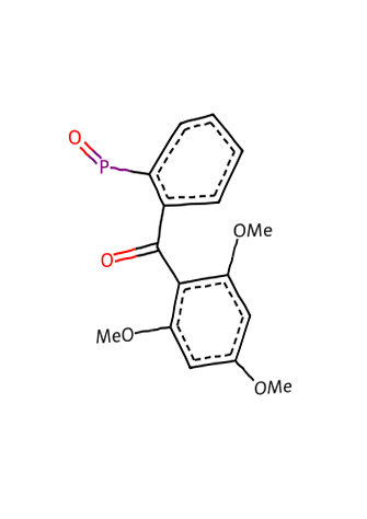 COc1cc(OC)c(C(=O)c2ccccc2P=O)c(OC)c1